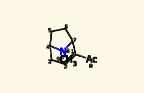 CC(=O)C1=CCC2CCC1N2C